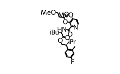 CC[C@H](C)[C@H](NC(=O)c1nccc(OC)c1OC(=O)CCOC)C(=O)O[C@@H](C)[C@H](c1ccc(F)cc1C)C(C)C